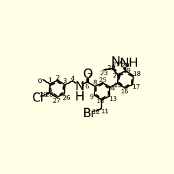 Cc1cc(CNC(=O)c2cc(CBr)cc(-c3cccc4[nH]nc(C)c34)c2)ccc1Cl